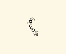 CC(C)(C)OC(=O)NC1CCN(CC2CCN(c3ccc([N+](=O)[O-])cc3F)CC2)CC1